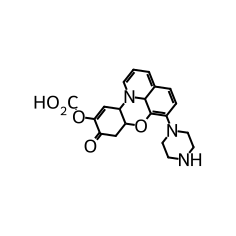 O=C(O)OC1=CC2C(CC1=O)OC1=C(N3CCNCC3)C=CC3=CC=CN2C31